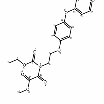 CCOC(=O)N(CCOc1ccc(Oc2ccccc2)cc1)C(=O)C(=O)OC